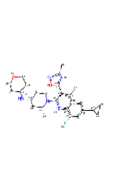 Cc1noc(-c2c(N3CC[C@@H](NC4CCOCC4)C[C@H]3C)nc3c(F)cc(C4CC4)cc3c2C)n1